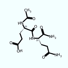 CC(=O)N[C@@H](CCC(=O)O)C(=O)N[C@@H](CCC(N)=O)C(N)=O